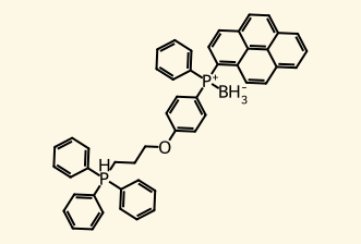 [BH3-][P+](c1ccccc1)(c1ccc(OCCC[PH](c2ccccc2)(c2ccccc2)c2ccccc2)cc1)c1ccc2ccc3cccc4ccc1c2c34